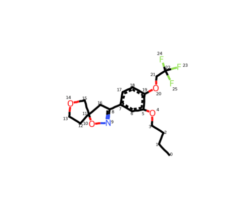 CCCCOc1cc(C2=NOC3(CCOC3)C2)ccc1OCC(F)(F)F